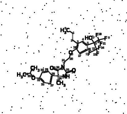 CCCc1cc(C(O)(C(F)(F)F)C(F)(F)F)ccc1OCCN1C(=O)NC(C)(c2ccc(OC(C)C)cc2)C1=O